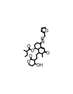 CCC(C)C(=O)OC1CCC(=NOCc2ccco2)C2=CC(=O)C(C)C(CCC3C(=O)OCCC3O)C21